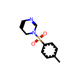 Cc1ccc(S(=O)(=O)N2C=NC#CC2)cc1